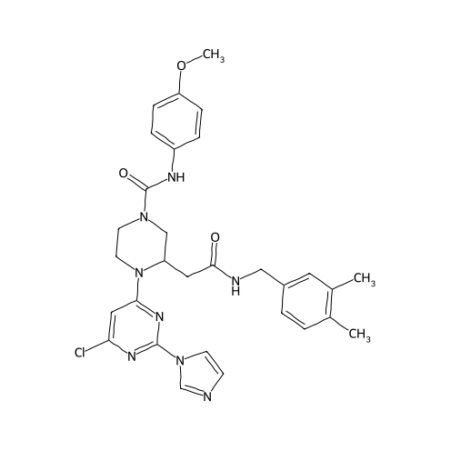 COc1ccc(NC(=O)N2CCN(c3cc(Cl)nc(-n4ccnc4)n3)C(CC(=O)NCc3ccc(C)c(C)c3)C2)cc1